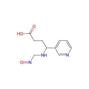 O=NCNC(CCC(=O)O)c1cccnc1